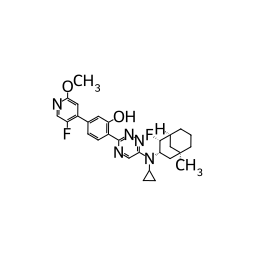 COc1cc(-c2ccc(-c3ncc(N(C4CC4)[C@H]4C[C@]5(C)CCC[C@@H](C5)[C@H]4F)nn3)c(O)c2)c(F)cn1